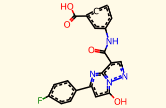 O=C(O)c1cccc(NC(=O)c2cnn3c(O)cc(-c4ccc(F)cc4)nc23)c1